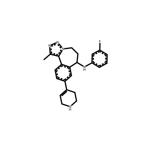 Cc1nnn2c1-c1ccc(C3=CCNCC3)cc1C(Nc1cccc(F)c1)CC2